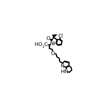 O=C(O)[C@H](CCOCCCCc1ccc2c(n1)NCCC2)NC(=O)C1(c2ccccc2Cl)CC1